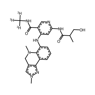 [2H]C([2H])([2H])NC(=O)c1cnc(NC(=O)C(C)CO)cc1Nc1cccc2c1N(C)Cc1cn(C)nc1-2